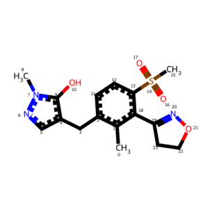 Cc1c(Cc2cnn(C)c2O)ccc(S(C)(=O)=O)c1C1=NOCC1